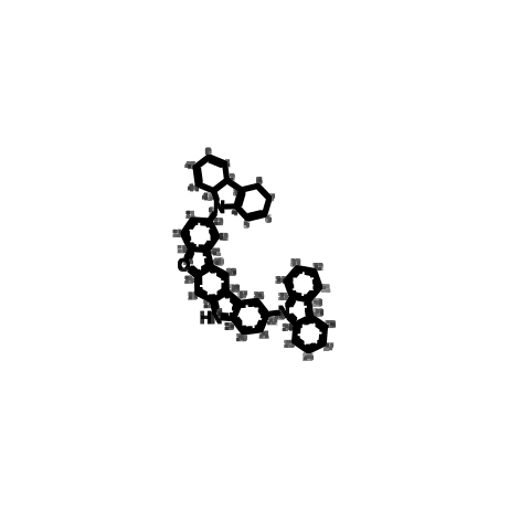 C1=CC2C3=C(C=CCC3)N(c3ccc4oc5cc6[nH]c7ccc(-n8c9ccccc9c9ccccc98)cc7c6cc5c4c3)C2C=C1